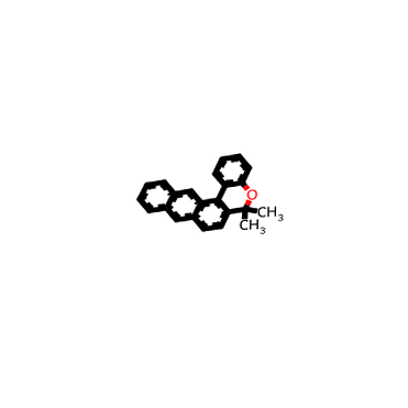 CC1(C)Oc2ccccc2-c2c1ccc1cc3ccccc3cc21